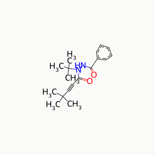 CC(C)(C)C#CC(=O)N(NC(=O)c1ccccc1)C(C)(C)C